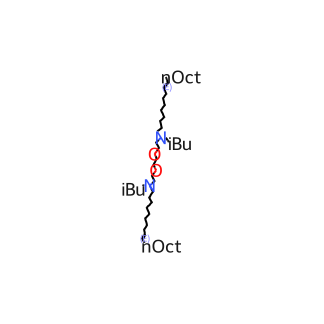 CCCCCCCC/C=C/CCCCCCCCN(CCOCCOCCN(CCCCCCCC/C=C/CCCCCCCC)CC(C)CC)CC(C)CC